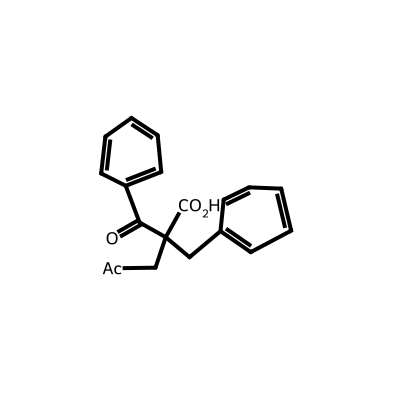 CC(=O)CC(Cc1ccccc1)(C(=O)O)C(=O)c1ccccc1